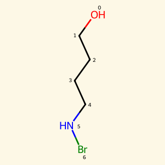 OCCCCNBr